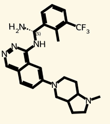 Cc1c([C@@H](N)Nc2nncc3ccc(N4CCC5C(CCN5C)C4)cc23)cccc1C(F)(F)F